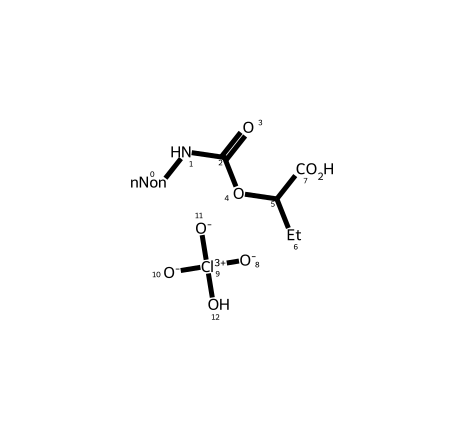 CCCCCCCCCNC(=O)OC(CC)C(=O)O.[O-][Cl+3]([O-])([O-])O